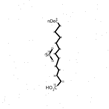 CCCCCCCCCCCCCCCCCCCCCC(=O)O.[CH3][Sn][CH3]